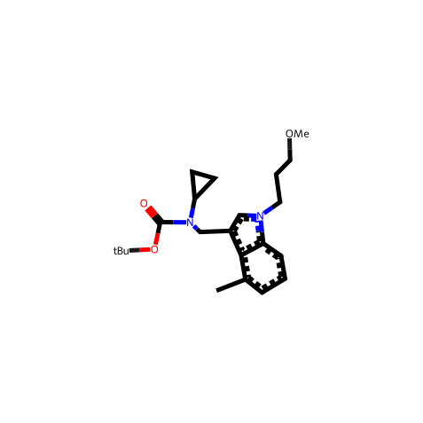 COCCCn1cc(CN(C(=O)OC(C)(C)C)C2CC2)c2c(C)cccc21